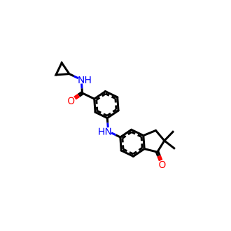 CC1(C)Cc2cc(Nc3cccc(C(=O)NC4CC4)c3)ccc2C1=O